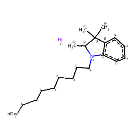 CCCCCCCCCCCCCCCCCCN1c2ccccc2C(C)(C)C1C.I